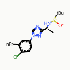 CCCc1cc(-n2cnc([C@H](C)N[S+]([O-])C(C)(C)C)n2)ccc1Cl